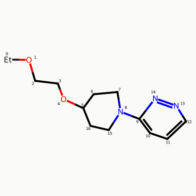 CCOCCOC1CCN(c2cc[c]nn2)CC1